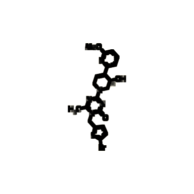 COc1cccc(C2=CCN(c3nc(C)n(Cc4ccc(Br)s4)c(=O)n3)C[C@@H]2O)n1